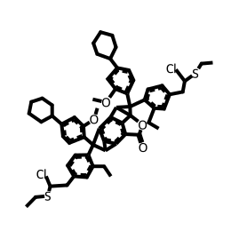 CCSC(Cl)Cc1ccc(C2(c3ccc(C4CCCCC4)cc3OC)c3c4c(c5c6c3C3C6(OC5=O)C3(c3ccc(CC(Cl)SCC)cc3CC)c3ccc(C5CCCCC5)cc3OC)C42)c(CC)c1